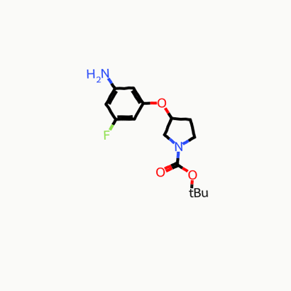 CC(C)(C)OC(=O)N1CCC(Oc2cc(N)cc(F)c2)C1